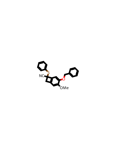 COc1cc2c(cc1OCc1ccccc1)C(C#N)(Sc1ccccc1)C2